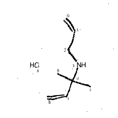 C=CCNC(C)(C)C=C.Cl